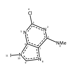 CNc1nc(Cl)nc2c1ncn2I